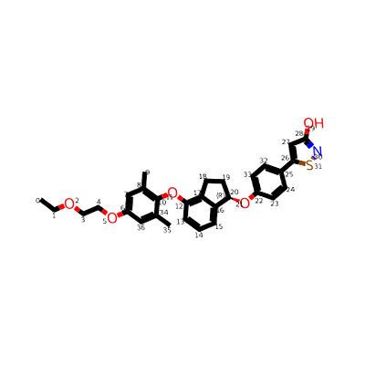 CCOCCOc1cc(C)c(Oc2cccc3c2CC[C@H]3Oc2ccc(-c3cc(O)ns3)cc2)c(C)c1